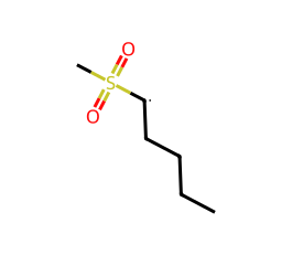 CCCC[CH]S(C)(=O)=O